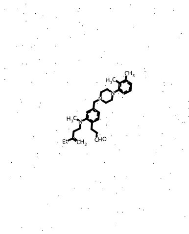 C=C(CC)CCN(C)c1cc(CN2CCN(c3cccc(C)c3C)CC2)ccc1CCC=O